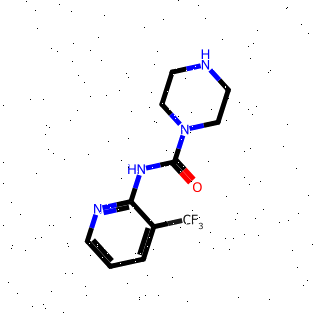 O=C(Nc1ncccc1C(F)(F)F)N1CCNCC1